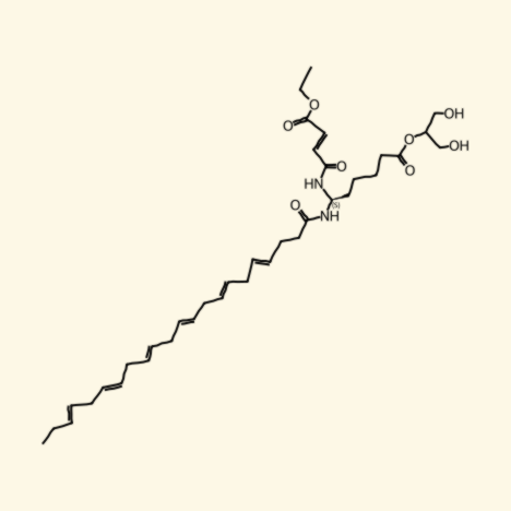 CCC=CCC=CCC=CCC=CCC=CCC=CCCC(=O)N[C@H](CCCCC(=O)OC(CO)CO)NC(=O)C=CC(=O)OCC